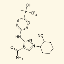 CC(O)(c1ccc(Nc2nn(C3CCCCC3C#N)cc2C(N)=O)cn1)C(F)(F)F